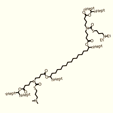 CCCCCCCC(CCCCCCC)OC(=O)CCCN(CCCC(=O)OC(CCCCCCC)CCCCCCCCCCCCCCC(CCCCCCC)OC(=O)CCCN(CCCC(=O)OC(CCCCCCC)CCCCCCC)C(=O)SCCCN(CC)CC)C(=O)SCCCN(C)C